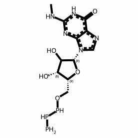 CNc1nc2c(ncn2[C@@H]2O[C@H](COPPP)[C@H](O)C2O)c(=O)[nH]1